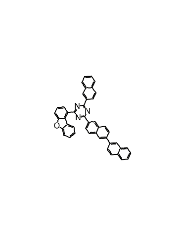 c1ccc2cc(-c3ccc4cc(-c5nc(-c6ccc7ccccc7c6)nc(-c6cccc7oc8ccccc8c67)n5)ccc4c3)ccc2c1